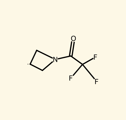 O=C(N1C[CH]C1)C(F)(F)F